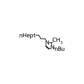 CCCCCCCCCCN1C=CN(CCCC)C1C